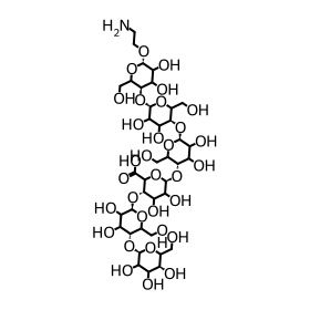 NCCO[C@H]1OC(CO)[C@H](O[C@H]2OC(CO)[C@@H](O[C@@H]3OC(CO)[C@@H](O[C@@H]4OC(C(=O)O)[C@@H](O[C@H]5OC(CO)[C@H](O[C@H]6OC(CO)[C@@H](O)C(O)C6O)C(O)C5O)C(O)C4O)C(O)C3O)C(O)C2O)C(O)C1O